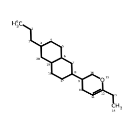 CCCC1CCC2CC(C3CC=C(CC)OC3)CCC2C1